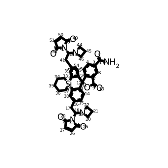 NC(=O)c1ccc2c(c1)C(=O)OC21c2ccc(CC(N3CCC3)N3C(=O)C=CC3=O)cc2[Si]2(CCCCC2)c2cc(CC(N3CCC3)N3C(=O)C=CC3=O)ccc21